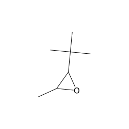 CC1OC1C(C)(C)C